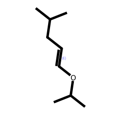 CC(C)C/C=C/OC(C)C